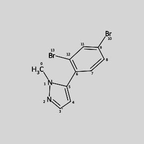 Cn1n[c]cc1-c1ccc(Br)cc1Br